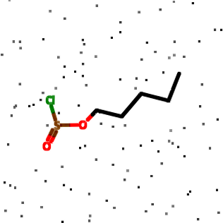 CCCCCOS(=O)Cl